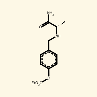 CCOC(=O)Oc1ccc(CN[C@@H](C)C(N)=O)cc1